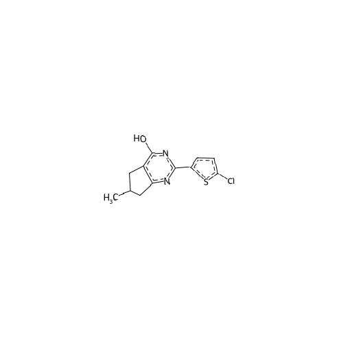 CC1Cc2nc(-c3ccc(Cl)s3)nc(O)c2C1